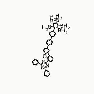 Bc1c(B)c(B)c(-c2ccc(-c3ccc(-c4ccc5oc6c(-c7nc(-c8ccccc8)nc(-c8ccccc8)n7)cccc6c5c4)cc3)cc2)c(B)c1B